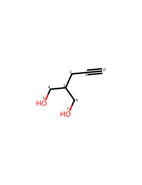 C#CCC(CO)CO